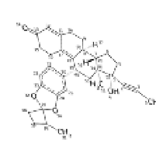 CC#C[C@]1(O)CC[C@H]2[C@@H]3CCC4=CC(=O)CCC4=C3[C@@H](c3ccc4c(c3)OC3(CCC3C)O4)C[C@@]21C